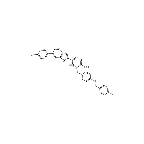 Cc1ccc(COc2ccc(C[C@H](NC(=O)c3cc4ccc(-c5ccc(Cl)cc5)cc4o3)C(=O)O)cc2)cc1